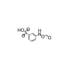 O=CONc1cccc(S(=O)(=O)O)c1